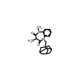 CN1C(=O)C(N)C(=O)N(CC23CC4CC(CC(C4)C2)C3)c2ccccc21